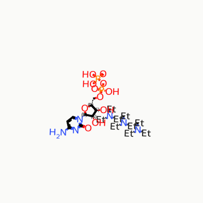 CCN(CC)CC.CCN(CC)CC.CCN(CC)CC.Nc1ccn([C@@H]2O[C@H](COP(=O)(O)OP(=O)(O)O)[C@@H](O)[C@@H]2O)c(=O)n1